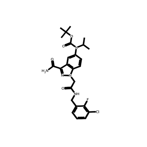 CC(C)N(C(=O)OC(C)(C)C)c1ccc2c(c1)c(C(N)=O)nn2CC(=O)NCc1cccc(Cl)c1F